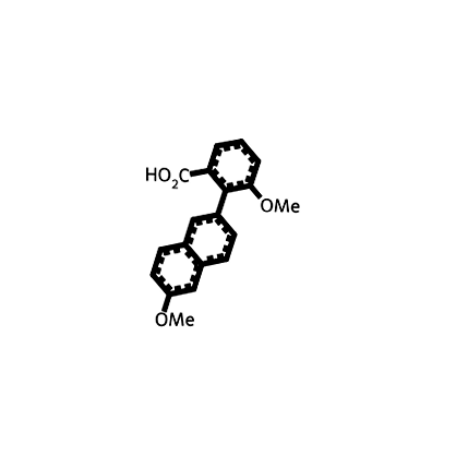 COc1ccc2cc(-c3c(OC)cccc3C(=O)O)ccc2c1